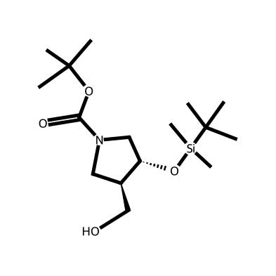 CC(C)(C)OC(=O)N1C[C@H](CO)[C@@H](O[Si](C)(C)C(C)(C)C)C1